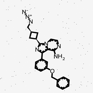 [N-]=[N+]=NC[C@H]1C[C@@H](c2nc(-c3cccc(OCc4ccccc4)c3)c3c(N)nccn32)C1